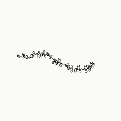 Cn1cc(NC(=O)c2nc(NC(=O)CCNC(=O)c3cc(NC(=O)c4nccn4C)cn3C)cn2C)cc1C(=O)NCCCC(=O)Nc1cn(C)c(C(=O)NCCC(=O)Nc2cc(C(=O)Nc3cn(C)c(C(=O)NCCC(=O)N4CCC(CN5CCN(C(=O)OC(C)(C)C)CC5)CC4)n3)n(C)c2)n1